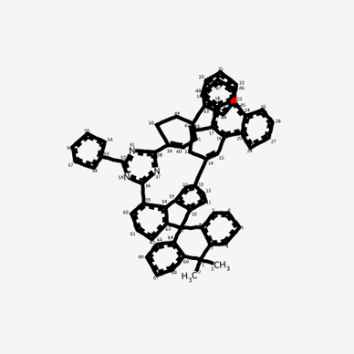 CC1(C)c2ccccc2C2(c3ccc(C4=Cc5c(c6ccccc6c6ccccc56)CC4)cc3-c3c(-c4nc(C5=CC=C(c6ccccc6)CC5)nc(-c5ccccc5)n4)cccc32)c2ccccc21